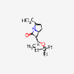 CC[Si](CC)(CC)O[C@H](C)C1C(=O)N2C(C(=O)O)=CCC12